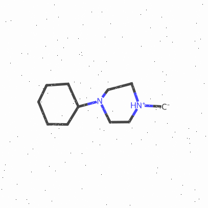 [CH2-][NH+]1CCN(C2CCCCC2)CC1